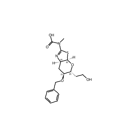 CN(C(=O)O)C1=N[C@@H]2C[C@H](OCc3ccccc3)[C@@H](CCO)O[C@@H]2S1